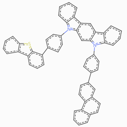 c1ccc2c(c1)ccc1cc(-c3ccc(-n4c5ccccc5c5cc6c7ccccc7n(-c7ccc(-c8cccc9c8sc8ccccc89)cc7)c6cc54)cc3)ccc12